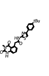 Cn1c(=O)[nH]c2cccc(CC(=O)Nc3nc(-c4ccc(C(C)(C)C)cc4)cs3)c2c1=O